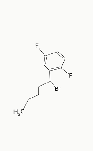 CCCCC(Br)c1cc(F)ccc1F